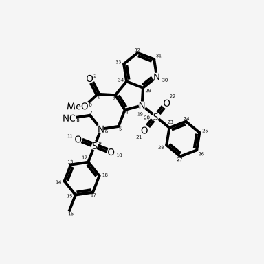 COC(=O)c1c(CN(CC#N)S(=O)(=O)c2ccc(C)cc2)n(S(=O)(=O)c2ccccc2)c2ncccc12